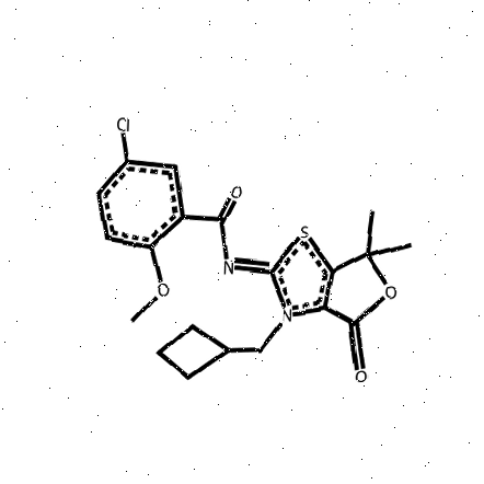 COc1ccc(Cl)cc1C(=O)N=c1sc2c(n1CC1CCC1)C(=O)OC2(C)C